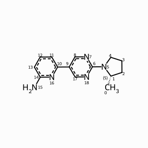 C[C@H]1CCCN1c1ncc(-c2cccc(N)n2)cn1